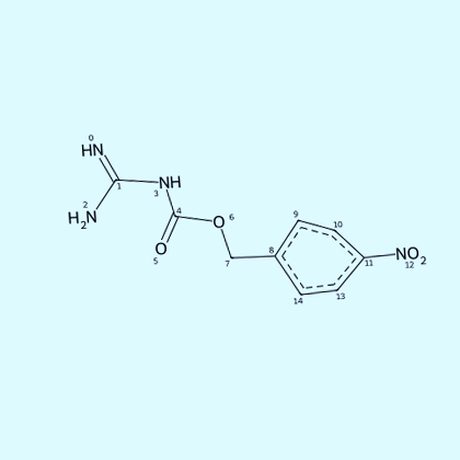 N=C(N)NC(=O)OCc1ccc([N+](=O)[O-])cc1